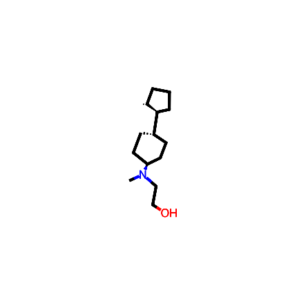 CN(CCO)[C@H]1CC[C@H]([C@H]2[CH]CCC2)CC1